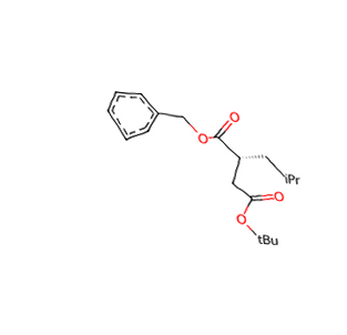 CC(C)C[C@H](CC(=O)OC(C)(C)C)C(=O)OCc1ccccc1